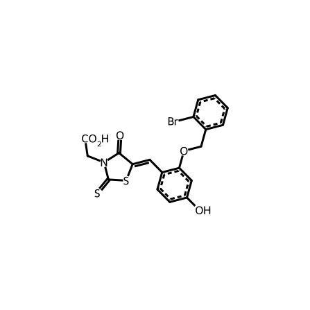 O=C(O)CN1C(=O)/C(=C/c2ccc(O)cc2OCc2ccccc2Br)SC1=S